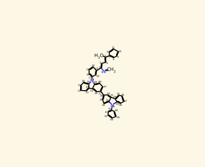 C=N/C(=C\C=C(/C)c1ccccc1)c1cccc(-n2c3ccccc3c3cc(-c4ccc5c(c4)c4ccccc4n5-c4ccccc4)ccc32)c1